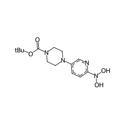 CC(C)(C)OC(=O)N1CCN(c2ccc(N(O)O)nc2)CC1